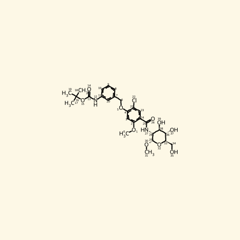 COc1cc(OCc2cccc(NC(=O)OC(C)(C)C)c2)c(Cl)cc1C(=O)N[C@H]1[C@@H](OC)O[C@H](CO)[C@@H](O)[C@@H]1O